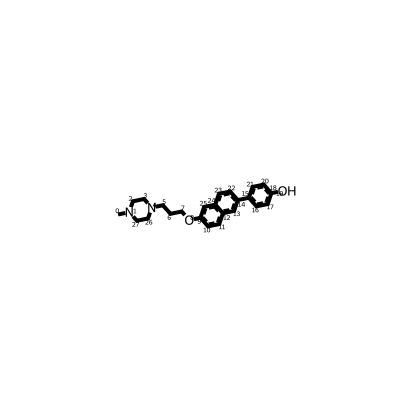 CN1CCN(CCCOc2ccc3cc(-c4ccc(O)cc4)ccc3c2)CC1